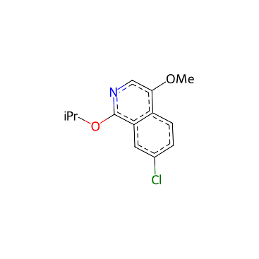 COc1cnc(OC(C)C)c2cc(Cl)ccc12